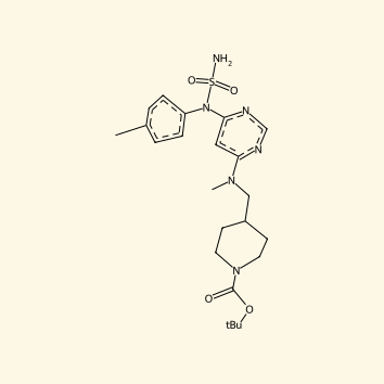 Cc1ccc(N(c2cc(N(C)CC3CCN(C(=O)OC(C)(C)C)CC3)ncn2)S(N)(=O)=O)cc1